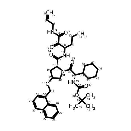 C=CCNC(=O)C(=O)C(CCC)NC(=O)[C@@H]1CC(OCc2cccc3ccccc23)CN1C(=O)[C@@H](NC(=O)OC(C)(C)C)C1CCCCC1